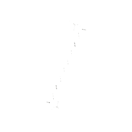 O=C1CC(CC=CCCCCCCCCC=CCC2CC(=O)OC2=O)C(=O)O1